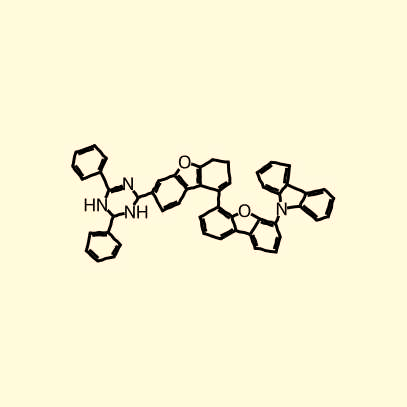 C1=C(c2cccc3c2oc2c(-n4c5ccccc5c5ccccc54)cccc23)c2c(oc3cc(C4N=C(c5ccccc5)NC(c5ccccc5)N4)ccc23)CC1